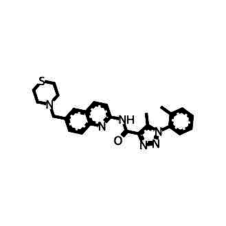 Cc1ccccc1-n1nnc(C(=O)Nc2ccc3cc(CN4CCSCC4)ccc3n2)c1C